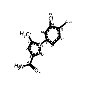 Cc1cc(C(N)=O)nn1-c1ccc(F)c(Cl)c1